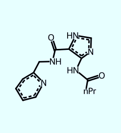 CCCC(=O)Nc1nc[nH]c1C(=O)NCc1ccccn1